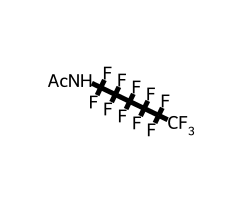 CC(=O)NC(F)(F)C(F)(F)C(F)(F)C(F)(F)C(F)(F)C(F)(F)F